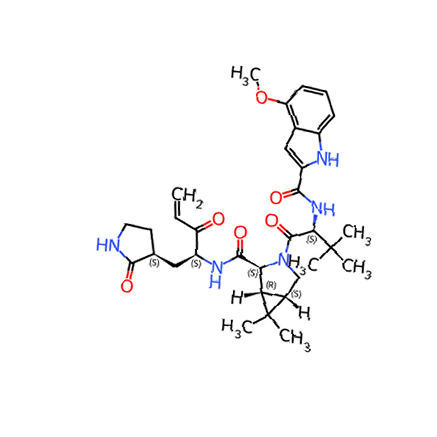 C=CC(=O)[C@H](C[C@@H]1CCNC1=O)NC(=O)[C@@H]1[C@@H]2[C@H](CN1C(=O)[C@@H](NC(=O)c1cc3c(OC)cccc3[nH]1)C(C)(C)C)C2(C)C